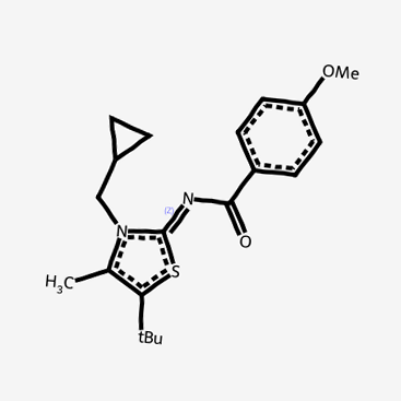 COc1ccc(C(=O)/N=c2\sc(C(C)(C)C)c(C)n2CC2CC2)cc1